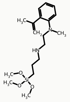 C=C(C)c1ccccc1N(C)CCNCCC[Si](OC)(OC)OC